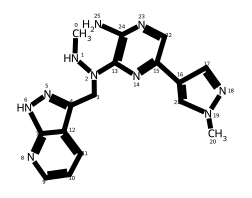 CNN(Cc1n[nH]c2ncccc12)c1nc(-c2cnn(C)c2)cnc1N